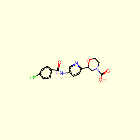 O=C(Nc1ccc(C2CN(C(=O)O)CCO2)nc1)c1ccc(Cl)cc1